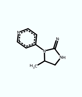 CC1CNC(=[N])N1c1ccncc1